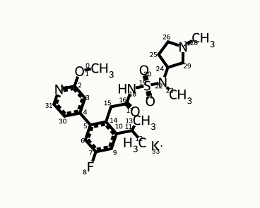 COc1cc(-c2cc(F)cc(C(C)C)c2CC(=O)NS(=O)(=O)N(C)C2CCN(C)C2)ccn1.[K]